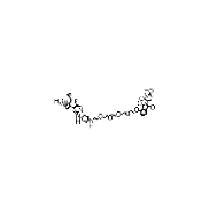 Cn1ncc(-c2nc(NC3CCC(NCCOCCOCCOCCOCCOc4cccc5c4C(=O)N(C4CCC(=O)NC4=O)C5=O)CC3)ncc2F)c1CC1CC1